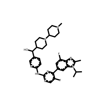 Cc1nc2c(F)cc(-c3nc(Nc4ccc(C(O)C5CCN(C6CCN(C)CC6)CC5)cn4)ncc3F)cc2n1C(C)C